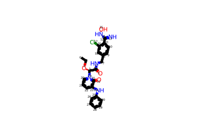 CCO[C@@H](C(=O)NCc1ccc(C(=N)NO)c(Cl)c1)n1cccc(Nc2ccccc2)c1=O